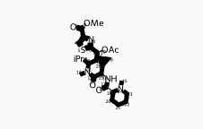 COC(=O)c1csc([C@@H](CC(C(C)C)N(C)C(=O)[C@@H](NC(=O)[C@H]2CCCCN2C)C2CC2)OC(C)=O)n1